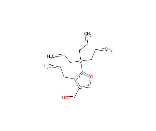 C=CCc1c(C=O)coc1[Si](CC=C)(CC=C)CC=C